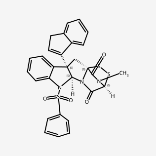 CN1C(=O)[C@@]23C[C@]4(C5=CCc6ccccc65)c5ccccc5N(S(=O)(=O)c5ccccc5)[C@@H]4N2C(=O)[C@@H]1SS3